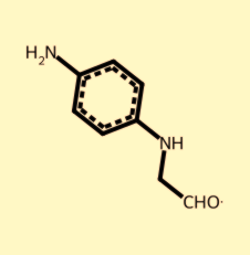 Nc1ccc(NC[C]=O)cc1